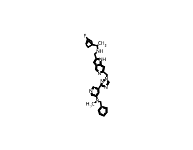 CC(NCc1cc2cnc(Cn3cnc(-c4cncc(N(C)Cc5ccccc5)c4)n3)cc2[nH]1)C12CC(F)C(C1)C2